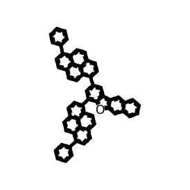 c1ccc(-c2ccc3ccc4c(-c5cc(-c6ccc7ccc8c(-c9ccccc9)ccc9ccc6c7c98)c6oc7cc8ccccc8cc7c6c5)ccc5ccc2c3c54)cc1